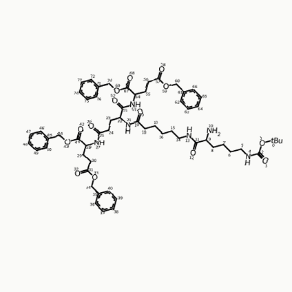 CC(C)(C)OC(=O)NCCCCC(N)C(=O)NCCCCCC(=O)NC(CCC(=O)NC(CCC(=O)OCc1ccccc1)C(=O)OCc1ccccc1)C(=O)NC(CCC(=O)OCc1ccccc1)C(=O)OCc1ccccc1